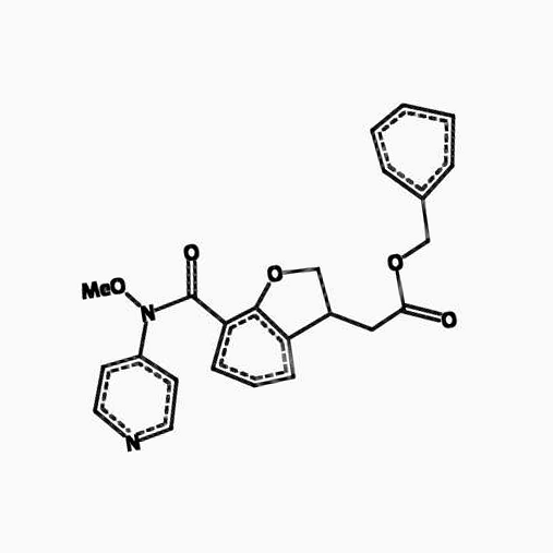 CON(C(=O)c1cccc2c1OCC2CC(=O)OCc1ccccc1)c1ccncc1